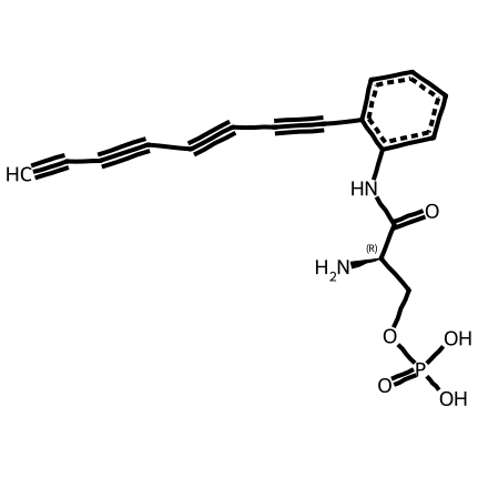 C#CC#CC#CC#Cc1ccccc1NC(=O)[C@H](N)COP(=O)(O)O